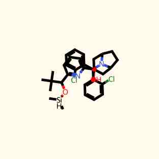 C[SiH](C)OC(c1cccc(C2(O)CC3CCC(C2)N3C(c2ccccc2Cl)c2ccccc2Cl)n1)C(C)(C)C